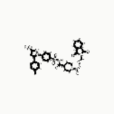 Cc1ccc(-c2cc(C(F)(F)F)nn2-c2ccc(S(=O)(=O)NC(=O)C3CCN(/[N+]([O-])=N\OCN4C(=O)c5ccccc5C4=O)CC3)cc2)cc1